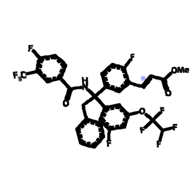 COC(=O)/C=C/c1cc(C(Cc2ccccc2)(NC(=O)c2ccc(F)c(C(F)(F)F)c2)c2cc(F)cc(OC(F)(F)C(F)F)c2)ccc1F